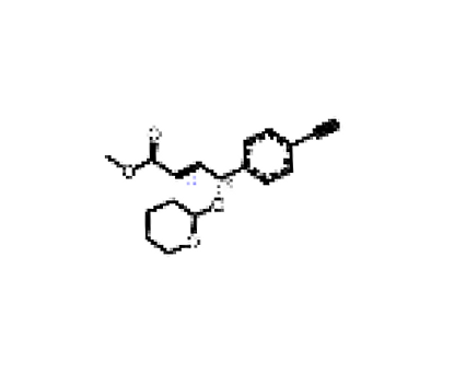 C#Cc1ccc([C@@H](/C=C/C(=O)OC)OC2CCCCO2)cc1